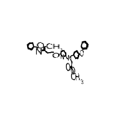 COC(=O)CN(Cc1ccc(Oc2ccccc2)cc1)Cc1cccc(OCCc2nc(-c3ccccc3)oc2C)n1